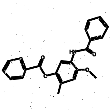 COc1cc(C)c(OC(=O)c2ccccc2)cc1NC(=O)c1ccccc1